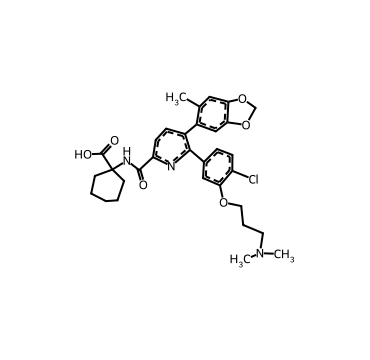 Cc1cc2c(cc1-c1ccc(C(=O)NC3(C(=O)O)CCCCC3)nc1-c1ccc(Cl)c(OCCCN(C)C)c1)OCO2